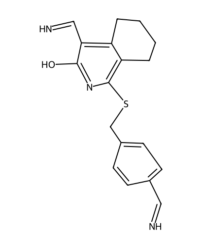 N=Cc1ccc(CSc2nc(O)c(C=N)c3c2CCCC3)cc1